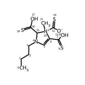 CCCCN1C=C(C(O)=S)[N+](C)(C([O-])=S)C1C(O)=S